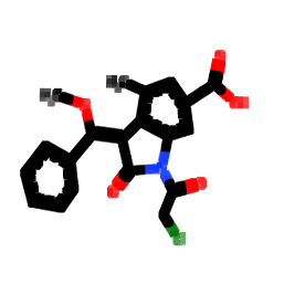 COC(=C1C(=O)N(C(=O)CCl)c2cc(C(=O)O)cc(C)c21)c1ccccc1